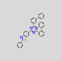 c1ccc(-c2cccc(-c3nc(-c4ccc5nc(-c6ccccc6)sc5c4)nc(-c4ccccc4-c4ccccc4)n3)c2)cc1